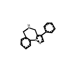 c1ccc(-c2cnn3c2CNCc2ccccc2-3)cc1